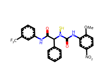 COc1ccc([N+](=O)[O-])cc1NC(=O)N(S)C(C(=O)Nc1cccc(C(F)(F)F)c1)c1ccccc1